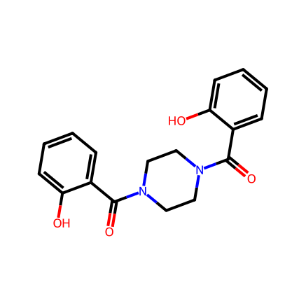 O=C(c1ccccc1O)N1CCN(C(=O)c2ccccc2O)CC1